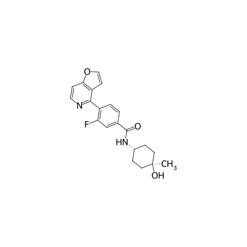 C[C@]1(O)CC[C@H](NC(=O)c2ccc(-c3nccc4occc34)c(F)c2)CC1